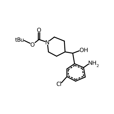 CC(C)(C)OC(=O)N1CCC(C(O)c2cc(Cl)ccc2N)CC1